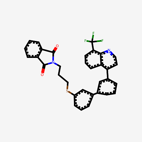 O=C1c2ccccc2C(=O)N1CCCSc1cccc(-c2cccc(-c3ccnc4c(C(F)(F)F)cccc34)c2)c1